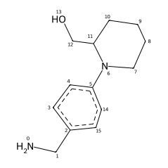 NCc1ccc(N2CCCCC2CO)cc1